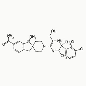 CC1=NC(N2CCC3(CC2)Cc2ccc(C(N)=O)cc2[C@H]3N)=C(CO)NC1(C)c1cccc(Cl)c1Cl